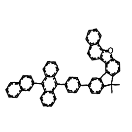 CC1(C)c2ccc(-c3ccc(-c4c5ccccc5c(-c5ccc6ccccc6c5)c5ccccc45)cc3)cc2-c2c1ccc1oc3c4ccccc4ccc3c21